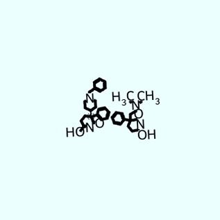 CCN(CC)CCC1(c2ccccc2)CCC(O)=NC1=O.O=C1N=C(O)CC[C@@]1(c1ccccc1)C1CCN(Cc2ccccc2)CC1